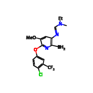 Bc1nc(Oc2ccc(Cl)c(C(F)(F)F)c2)c(OC)cc1/N=C/N(C)CC